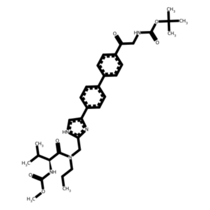 CCCN(Cc1nc(-c2ccc(-c3ccc(C(=O)CNC(=O)OC(C)(C)C)cc3)cc2)c[nH]1)C(=O)[C@@H](NC(=O)OC)C(C)C